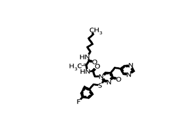 CCCCCCNC(=O)[C@@H](C)NC(=O)Cn1cc(Cc2cncnc2)c(=O)nc1SCc1ccc(F)cc1